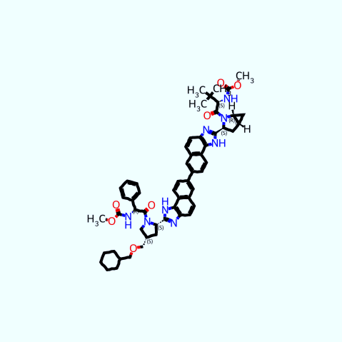 COC(=O)N[C@H](C(=O)N1[C@@H]2C[C@@H]2C[C@H]1c1nc2ccc3cc(-c4ccc5c(ccc6nc([C@@H]7C[C@H](COCC8CCCCC8)CN7C(=O)[C@H](NC(=O)OC)c7ccccc7)[nH]c65)c4)ccc3c2[nH]1)C(C)(C)C